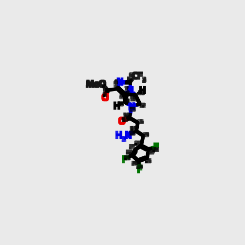 COC(=O)c1nc(C(F)(F)F)n2c1[C@H]1C[C@@H]2CN1C(=O)C[C@H](N)Cc1cc(F)c(F)cc1F